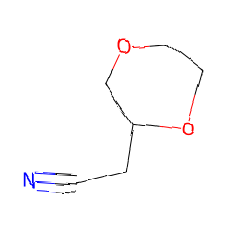 N#CCC1COCCO1